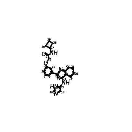 O=C(COc1cccc(-c2nc(Nc3cnc[nH]3)c3ccccc3n2)c1)NC1CCC1